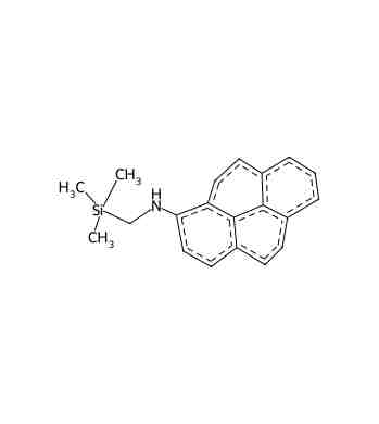 C[Si](C)(C)CNc1ccc2ccc3cccc4ccc1c2c34